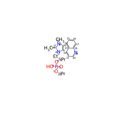 CC(C)OP(=O)(O)OC(C)C.CCN1C=CN(C)C1C.c1ccc2ncccc2c1